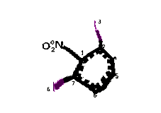 O=[N+]([O-])c1c(I)cccc1I